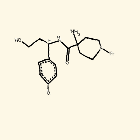 CC(C)N1CCC(N)(C(=O)N[C@H](CCO)c2ccc(Cl)cc2)CC1